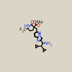 COC(=O)C1(Cc2ccc3nc([C@@H](N)C(C4CC4)C4CC4)cn3n2)CCC(C(F)(F)F)NC1=O